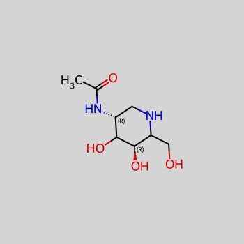 CC(=O)N[C@@H]1CNC(CO)[C@@H](O)C1O